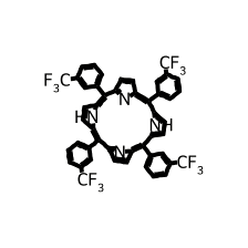 FC(F)(F)c1cccc(-c2c3nc(c(-c4cccc(C(F)(F)F)c4)c4ccc([nH]4)c(-c4cccc(C(F)(F)F)c4)c4nc(c(-c5cccc(C(F)(F)F)c5)c5ccc2[nH]5)C=C4)C=C3)c1